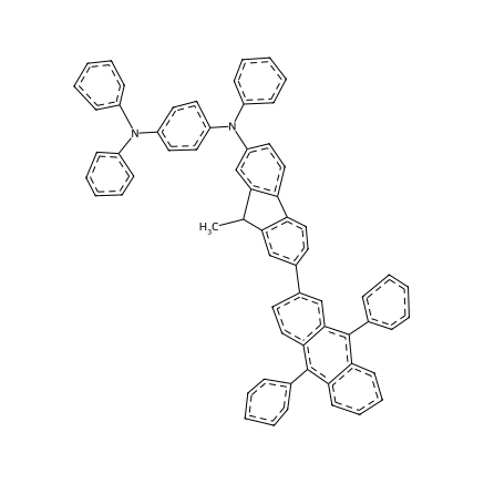 CC1c2cc(-c3ccc4c(-c5ccccc5)c5ccccc5c(-c5ccccc5)c4c3)ccc2-c2ccc(N(c3ccccc3)c3ccc(N(c4ccccc4)c4ccccc4)cc3)cc21